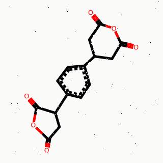 O=C1CC(c2ccc(C3CC(=O)OC3=O)cc2)CC(=O)O1